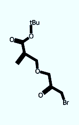 C=C(COCC(=O)CBr)C(=O)OC(C)(C)C